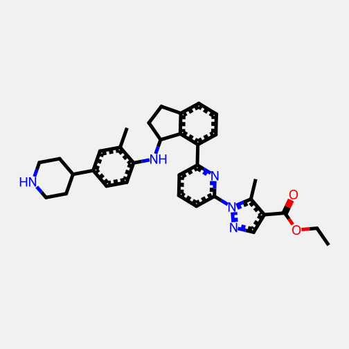 CCOC(=O)c1cnn(-c2cccc(-c3cccc4c3C(Nc3ccc(C5CCNCC5)cc3C)CC4)n2)c1C